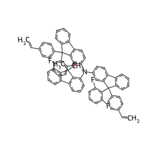 C=Cc1ccc(C2(c3c(F)cccc3F)c3ccccc3-c3ccc(N(c4ccc5c(c4)C(c4ccc(C=C)cc4)(c4c(F)cccc4F)c4ccccc4-5)c4cccc5c4C(C)(C)c4ccccc4-5)cc32)cc1